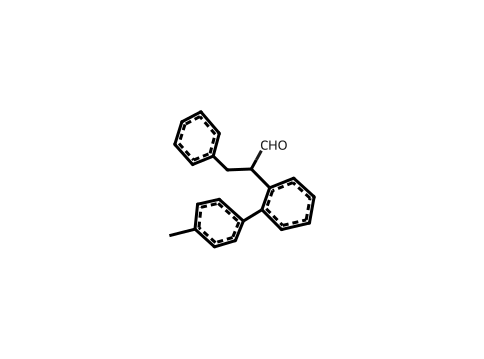 Cc1ccc(-c2ccccc2C(C=O)Cc2ccccc2)cc1